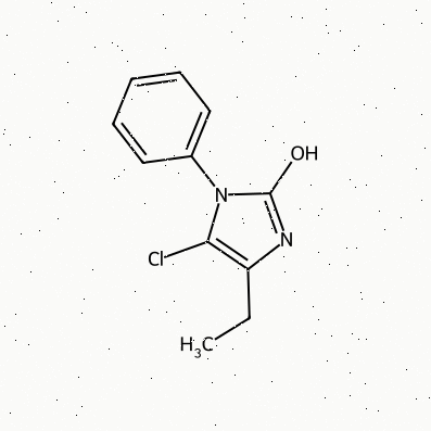 CCc1nc(O)n(-c2ccccc2)c1Cl